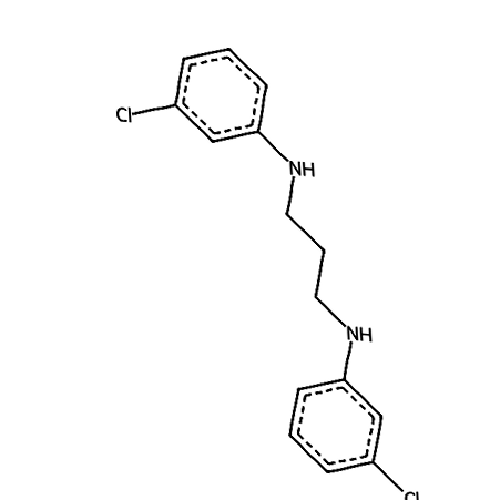 Clc1cccc(NCCCNc2cccc(Cl)c2)c1